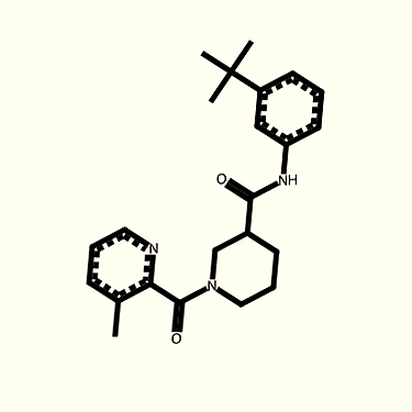 Cc1cccnc1C(=O)N1CCCC(C(=O)Nc2cccc(C(C)(C)C)c2)C1